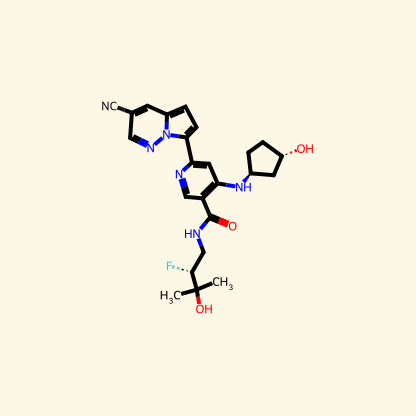 CC(C)(O)[C@H](F)CNC(=O)c1cnc(-c2ccc3cc(C#N)cnn23)cc1N[C@H]1CC[C@H](O)C1